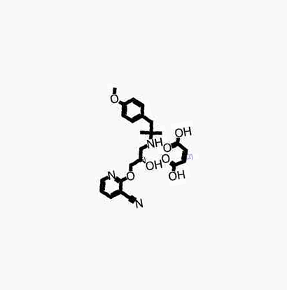 COc1ccc(CC(C)(C)NC[C@H](O)COc2ncccc2C#N)cc1.O=C(O)/C=C\C(=O)O